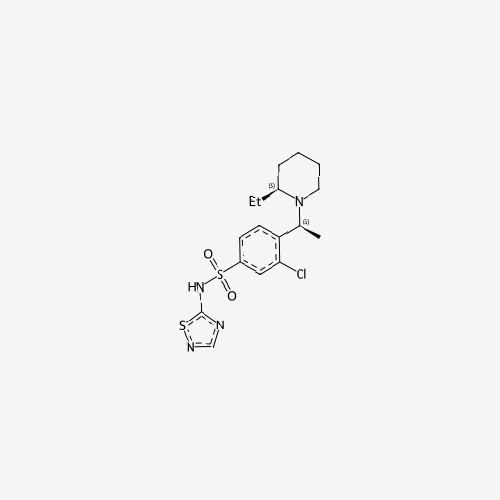 CC[C@H]1CCCCN1[C@@H](C)c1ccc(S(=O)(=O)Nc2ncns2)cc1Cl